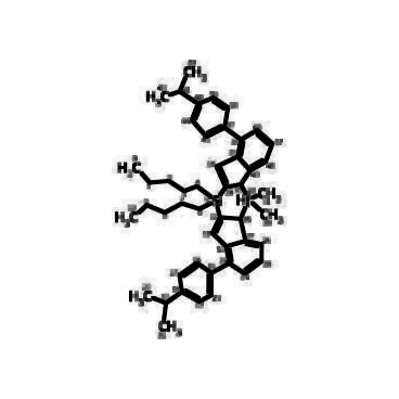 CCCCC[Si]1(CCCCC)C2=Cc3c(-c4ccc(C(C)C)cc4)cccc3[CH]2[Hf]([CH3])([CH3])[CH]2C1=Cc1c(-c3ccc(C(C)C)cc3)cccc12